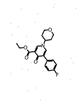 CCOC(=O)c1cn(C2CCOCC2)cc(-c2ccc(F)cc2)c1=O